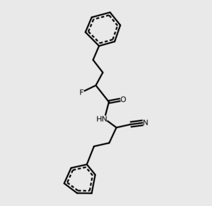 N#CC(CCc1ccccc1)NC(=O)C(F)CCc1ccccc1